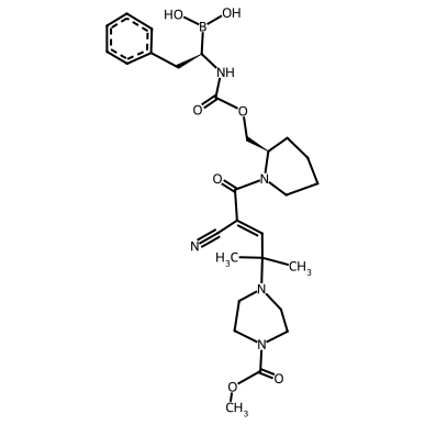 COC(=O)N1CCN(C(C)(C)/C=C(\C#N)C(=O)N2CCCC[C@@H]2COC(=O)N[C@@H](Cc2ccccc2)B(O)O)CC1